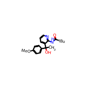 COc1ccc(C(C)(O)c2cccnc2NC(=O)C(C)(C)C)cc1